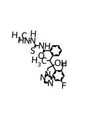 CNNC(=S)NC(=O)c1ccccc1C(C)C(O)(Cn1cncn1)c1ccc(F)cc1F